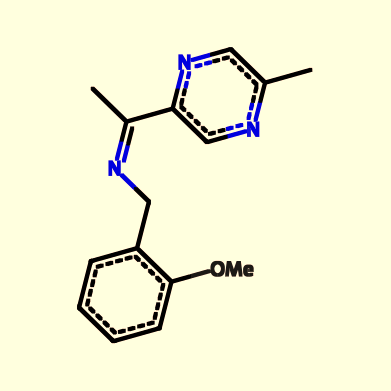 COc1ccccc1CN=C(C)c1cnc(C)cn1